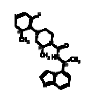 C[C@@H]1CN(C2=C(F)C=NC[C@@H]2C)CCN1C(=O)N[C@H](C)c1cccc2nccn12